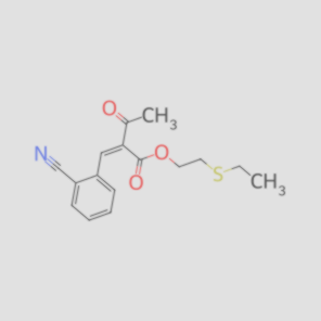 CCSCCOC(=O)C(=Cc1ccccc1C#N)C(C)=O